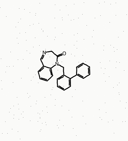 O=C1CN=Cc2ccccc2N1Cc1ccccc1-c1ccccc1